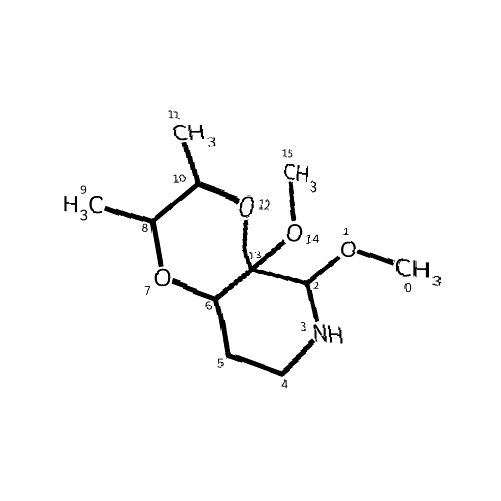 COC1NCCC2OC(C)C(C)OC21OC